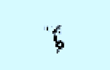 C=C(NCCc1cccc(F)c1)[N+](=O)[O-]